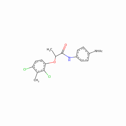 CC(=O)Nc1ccc(NC(=O)C(C)Oc2ccc(Cl)c(C)c2Cl)cc1